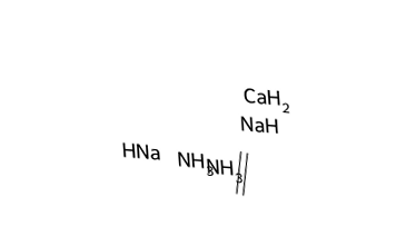 C=C.N.N.[CaH2].[NaH].[NaH]